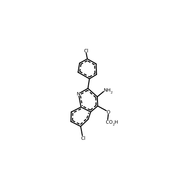 Nc1c(-c2ccc(Cl)cc2)nc2ccc(Cl)cc2c1OC(=O)O